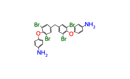 Nc1ccc(Oc2c(Br)cc(Cc3cc(Br)c(Oc4ccc(N)cc4)c(Br)c3)cc2Br)cc1